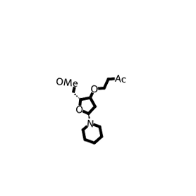 COC[C@H]1O[C@@H](N2CCCCC2)CC1OCCC(C)=O